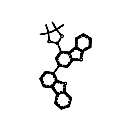 CC1(C)OB(c2cc(-c3cccc4c3oc3ccccc34)cc3oc4ccccc4c23)OC1(C)C